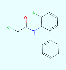 O=C(CCl)Nc1c(Cl)cccc1-c1ccccc1